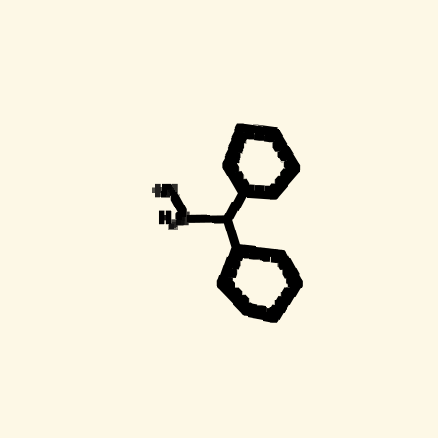 [NH][SiH2]C(c1ccccc1)c1ccccc1